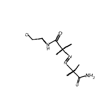 CC(C)(N=NC(C)(C)C(=O)NCCCl)C(N)=O